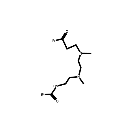 CC(C)C(=O)CCN(C)CCN(C)CCNC(=O)C(C)C